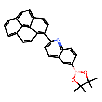 CC1(C)OB(c2ccc3nc(-c4ccc5ccc6cccc7ccc4c5c67)ccc3c2)OC1(C)C